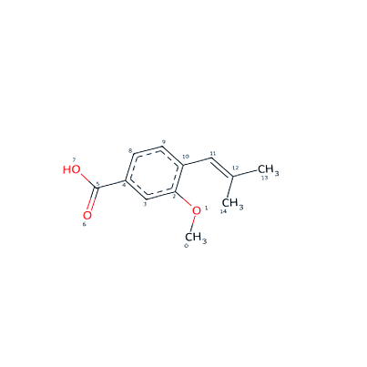 COc1cc(C(=O)O)ccc1C=C(C)C